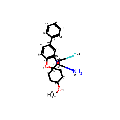 COC1CCC2(CC1)Oc1ccc(-c3ccccc3)cc1C21C=C(F)C(N)=N1